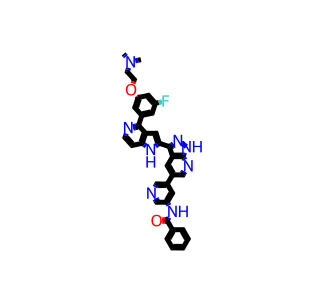 CN(C)CCOc1cc(F)cc(-c2nccc3[nH]c(-c4n[nH]c5ncc(-c6cncc(NC(=O)c7ccccc7)c6)cc45)cc23)c1